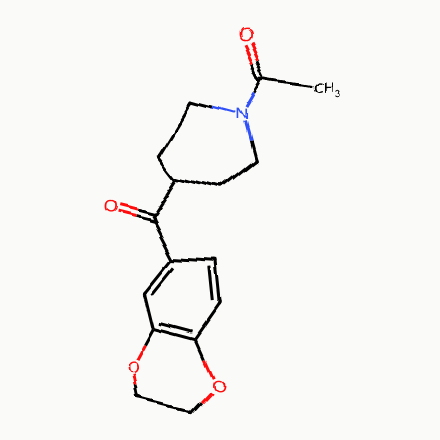 CC(=O)N1CCC(C(=O)c2ccc3c(c2)OCCO3)CC1